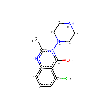 CCCc1nc2cccc(Cl)c2c(=O)n1N1CCNCC1